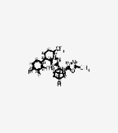 Cc1nnc(N2C[C@H]3C[C@@H](C2)[C@@H]3Nc2nc3n(n2)C(C(F)(F)F)CCC3c2ccc(F)c(F)c2F)o1